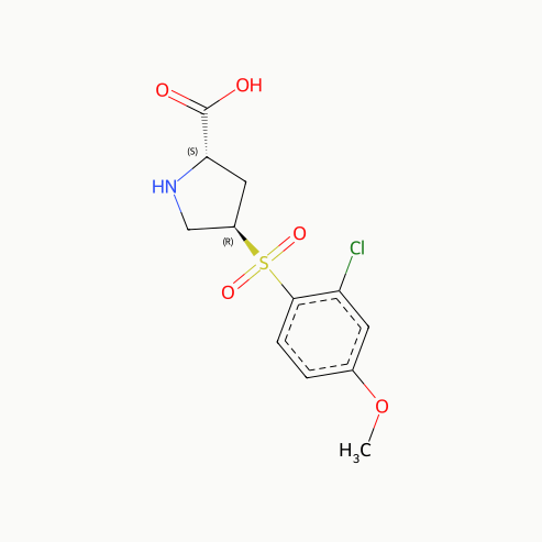 COc1ccc(S(=O)(=O)[C@H]2CN[C@H](C(=O)O)C2)c(Cl)c1